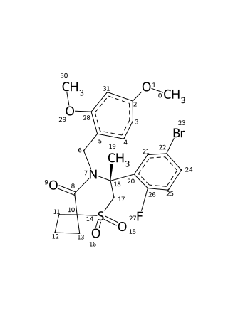 COc1ccc(CN2C(=O)C3(CCC3)S(=O)(=O)C[C@@]2(C)c2cc(Br)ccc2F)c(OC)c1